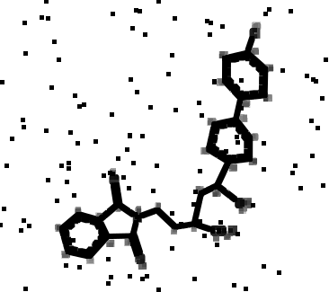 O=C(O)C(CCN1C(=O)c2ccccc2C1=O)CC(O)c1ccc(-c2ccc(Cl)cc2)cc1